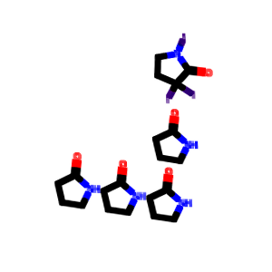 O=C1CCCN1.O=C1CCCN1.O=C1CCCN1.O=C1CCCN1.O=C1N(I)CCC1(I)I